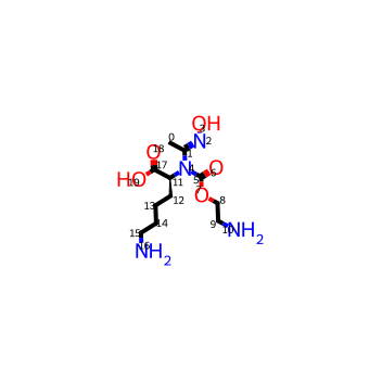 C/C(=N\O)N(C(=O)OCCN)[C@@H](CCCCN)C(=O)O